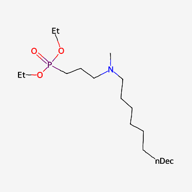 CCCCCCCCCCCCCCCCN(C)CCCP(=O)(OCC)OCC